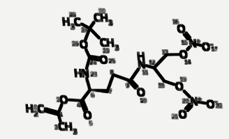 C=C(C)OC(=O)[C@H](CCC(=O)NC(CO[N+](=O)[O-])CO[N+](=O)[O-])NC(=O)OC(C)(C)C